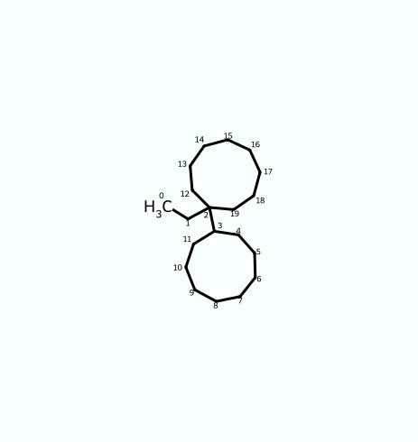 CCC1(C2CCCCCCCC2)CCCCCCCC1